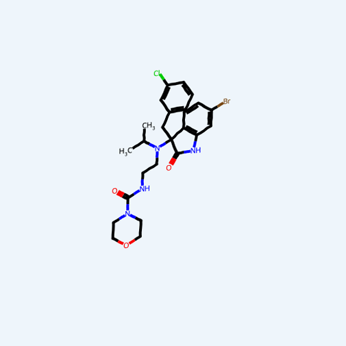 CC(C)N(CCNC(=O)N1CCOCC1)C1(Cc2cccc(Cl)c2)C(=O)Nc2cc(Br)ccc21